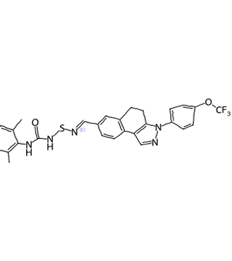 Cc1cccc(C)c1NC(=O)NS/N=C/c1ccc2c(c1)CCc1c-2cnn1-c1ccc(OC(F)(F)F)cc1